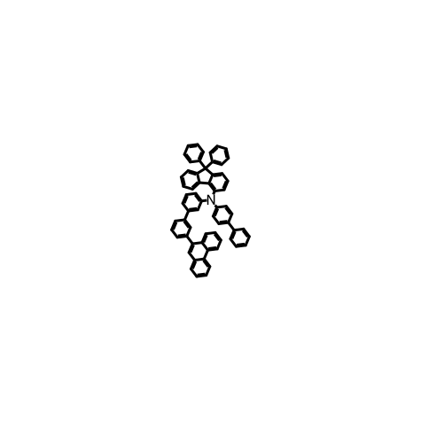 c1ccc(-c2ccc(N(c3cccc(-c4cccc(-c5cc6ccccc6c6ccccc56)c4)c3)c3cccc4c3-c3ccccc3C4(c3ccccc3)c3ccccc3)cc2)cc1